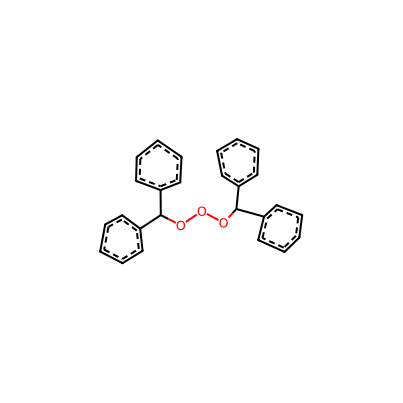 c1ccc(C(OOOC(c2ccccc2)c2ccccc2)c2ccccc2)cc1